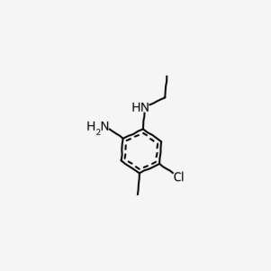 CCNc1cc(Cl)c(C)cc1N